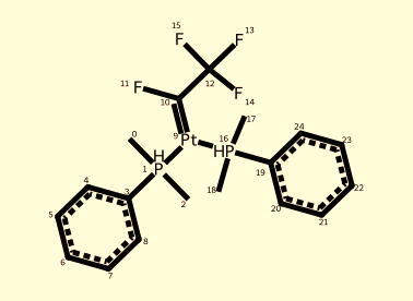 C[PH](C)(c1ccccc1)[Pt](=[C](F)C(F)(F)F)[PH](C)(C)c1ccccc1